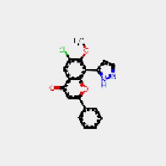 COc1c(Cl)cc2c(=O)cc(-c3ccccc3)oc2c1-c1ccn[nH]1